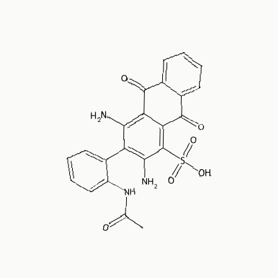 CC(=O)Nc1ccccc1-c1c(N)c2c(c(S(=O)(=O)O)c1N)C(=O)c1ccccc1C2=O